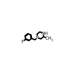 CC1CN(Cc2cccc(F)c2)CCN1